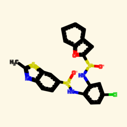 Cc1nc2ccc([S+]([O-])Nc3ccc(Cl)cc3N[S+]([O-])c3cc4ccccc4o3)cc2s1